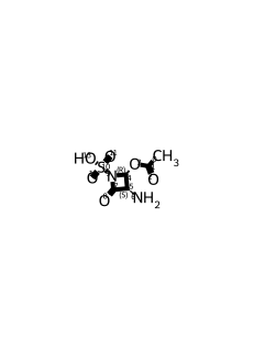 CC(=O)O[C@@H]1[C@H](N)C(=O)N1S(=O)(=O)O